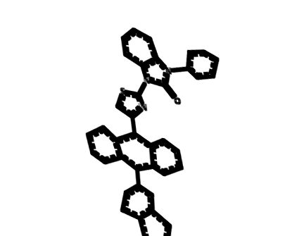 O=c1n(-c2ccccc2)c2ccccc2n1-c1nc(-c2c3ccccc3c(-c3ccc4ccccc4c3)c3ccccc23)cs1